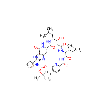 CC[C@H](C)[C@H](NC(=O)C[C@H](O)[C@H](CC(C)C)NC(=O)[C@H](Cc1c[nH]c(NC(=O)OC(C)(C)C)n1)NC(=O)CCCc1cccs1)C(=O)NC(=O)c1ccccn1